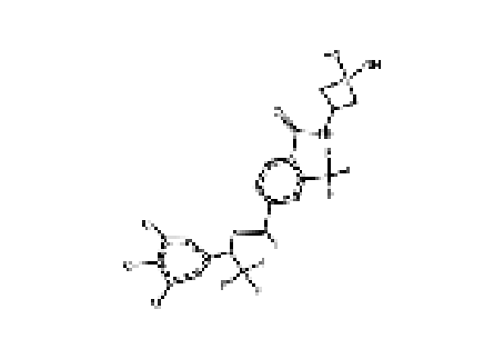 O=C(NC1CS(O)(O)C1)c1ccc(C(F)=CC(c2cc(Cl)c(Cl)c(Cl)c2)C(F)(F)F)cc1C(F)(F)F